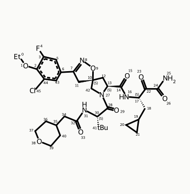 CCOc1c(F)cc(C2=NO[C@]3(C2)C[C@@H](C(=O)N[C@@H](CC2CC2)C(=O)C(N)=O)N(C(=O)[C@@H](NC(=O)CC2CCOCC2)C(C)(C)C)C3)cc1Cl